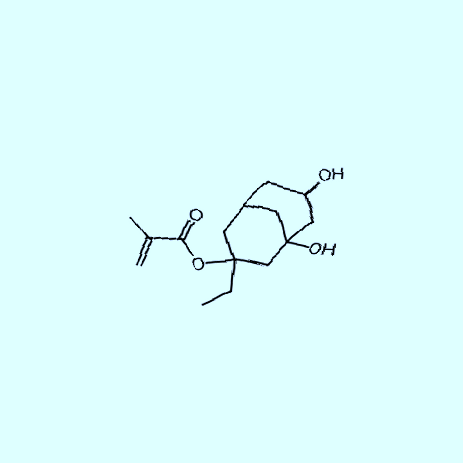 C=C(C)C(=O)OC1(CC)CC2CC(O)CC(O)(C2)C1